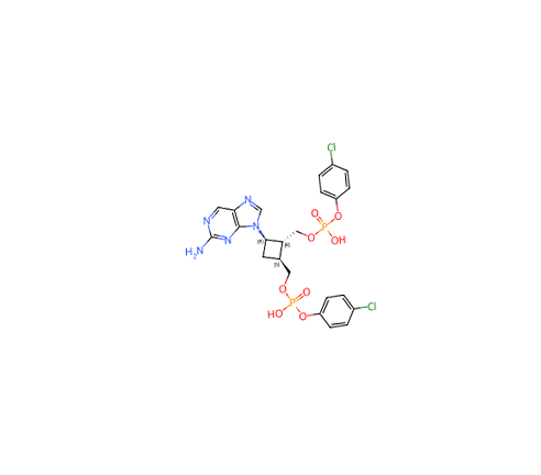 Nc1ncc2ncn([C@@H]3C[C@H](COP(=O)(O)Oc4ccc(Cl)cc4)[C@H]3COP(=O)(O)Oc3ccc(Cl)cc3)c2n1